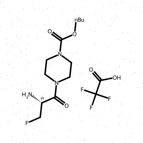 CCCCOC(=O)N1CCN(C(=O)[C@@H](N)CF)CC1.O=C(O)C(F)(F)F